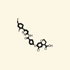 O=C(Nc1ccc(-c2ccc(CF)cc2F)nn1)c1ccc(Oc2cc3c(cc2Cl)C(C(=O)O)CCO3)cc1